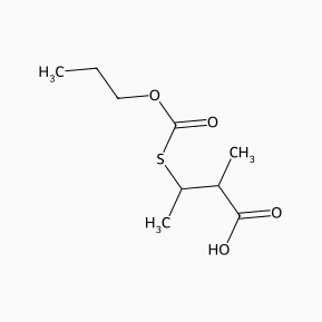 CCCOC(=O)SC(C)C(C)C(=O)O